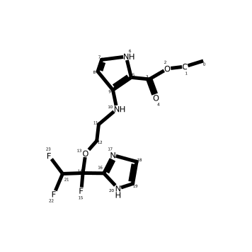 CCOC(=O)c1[nH]ccc1NCCOC(F)(c1ncc[nH]1)C(F)F